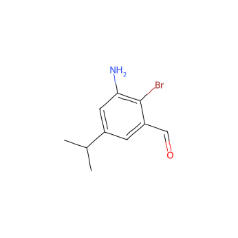 CC(C)c1cc(N)c(Br)c(C=O)c1